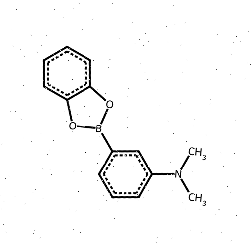 CN(C)c1cccc(B2Oc3ccccc3O2)c1